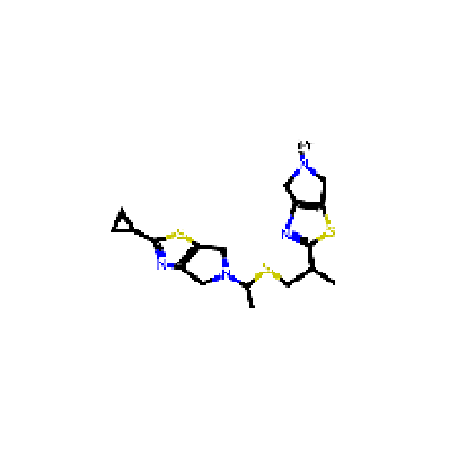 CC(CSC(C)N1Cc2nc(C3CC3)sc2C1)c1nc2c(s1)CN(C(C)C)C2